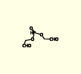 O=CCO[PH](=O)OCC=O